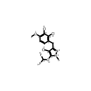 COc1ccc(Cc2nn(C)c(OC(F)F)c2Cl)c(Cl)c1Cl